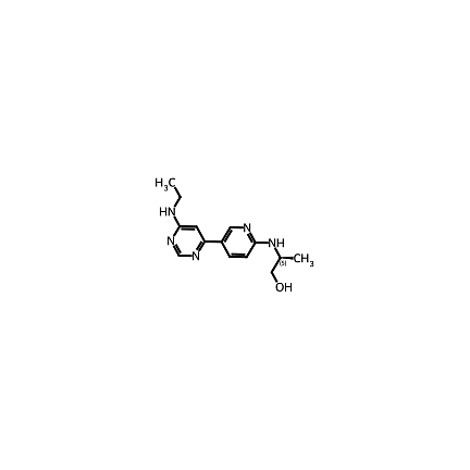 CCNc1cc(-c2ccc(N[C@@H](C)CO)nc2)ncn1